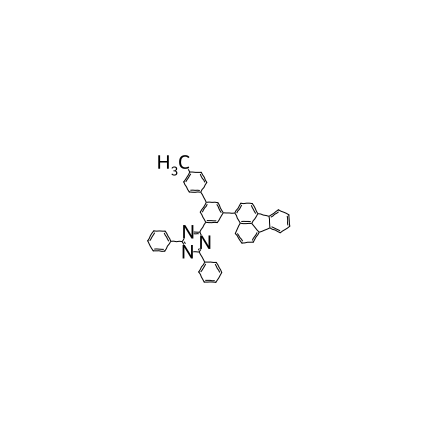 Cc1ccc(-c2cc(-c3nc(-c4ccccc4)nc(-c4ccccc4)n3)cc(-c3ccc4c5c(cccc35)-c3ccccc3-4)c2)cc1